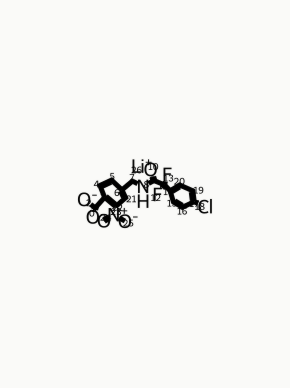 O=C([O-])c1ccc(CNC(=O)C(F)(F)c2ccc(Cl)cc2)cc1[N+](=O)[O-].[Li+]